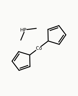 C1=C[CH]([Co][CH]2C=CC=C2)C=C1.CPC